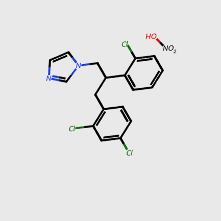 Clc1ccc(CC(Cn2ccnc2)c2ccccc2Cl)c(Cl)c1.O=[N+]([O-])O